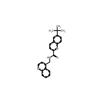 CC(C)(C)c1ccc2nc(C(=O)NCc3ccnc4ccccc34)ccc2c1